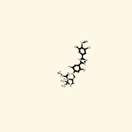 CC(C)Oc1c(Cl)cc(-c2nnc(-c3cc(F)c(OC[C@H]4COC(C)(C)N4C(=O)OC(C)(C)C)cc3Cl)s2)cc1Cl